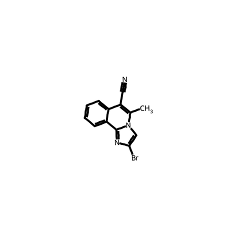 Cc1c(C#N)c2ccccc2c2nc(Br)cn12